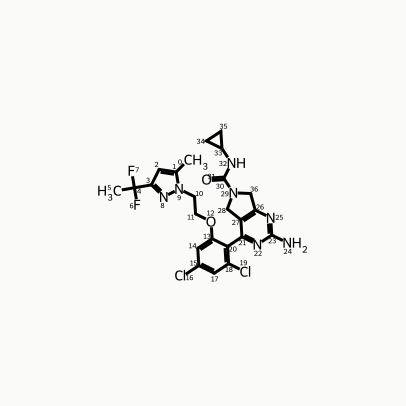 Cc1cc(C(C)(F)F)nn1CCOc1cc(Cl)cc(Cl)c1-c1nc(N)nc2c1CN(C(=O)NC1CC1)C2